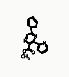 COC(=O)c1ncc(-c2ccccc2)nc1-c1ccccn1